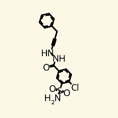 NS(=O)(=O)c1cc(C(=O)NNC#CCc2ccccc2)ccc1Cl